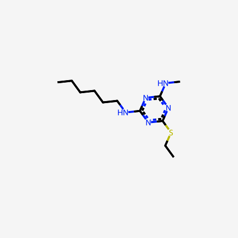 CCCCCCNc1nc(NC)nc(SCC)n1